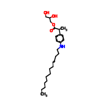 CCCCCCCCCC=CCCCNc1ccc(C(C)C(=O)OCC(O)CO)cc1